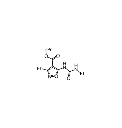 CCCOC(=O)c1c(CC)noc1NC(=O)NCC